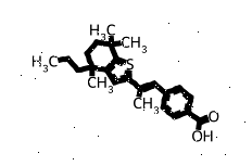 CCCC1(C)CCC(C)(C)c2sc(C(C)=Cc3ccc(C(=O)O)cc3)cc21